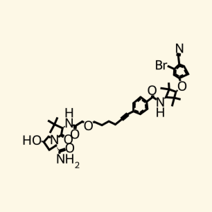 CC(C)(C)[C@H](NC(=O)COCCCCC#Cc1ccc(C(=O)N[C@H]2C(C)(C)[C@H](Oc3ccc(C#N)c(Br)c3)C2(C)C)cc1)C(=O)N1C[C@H](O)C[C@H]1C(N)=O